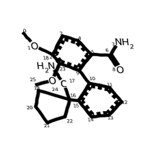 COc1ccc(C(N)=O)c(-c2ccccc2C2(CN)CCCC2)c1OC